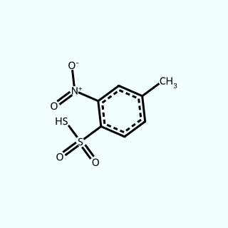 Cc1ccc(S(=O)(=O)S)c([N+](=O)[O-])c1